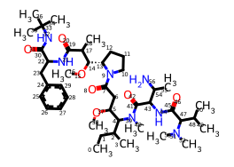 CCC(C)C(C(CC(=O)N1CCC[C@H]1C(OC)C(C)C(=O)NC(Cc1ccccc1)C(=O)NC(C)(C)C)OC)N(C)C(=O)C(NC(=O)C(C(C)C)N(C)C)C(C)N